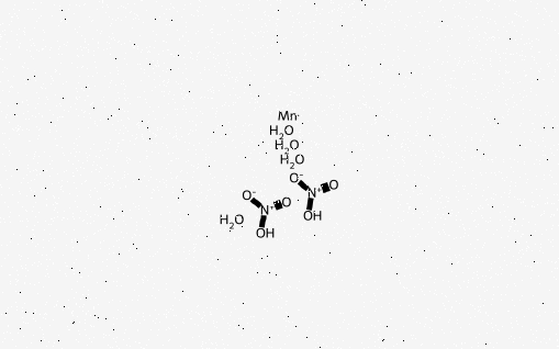 O.O.O.O.O=[N+]([O-])O.O=[N+]([O-])O.[Mn]